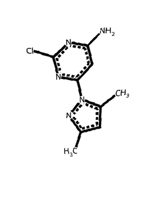 Cc1cc(C)n(-c2cc(N)nc(Cl)n2)n1